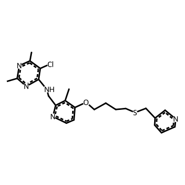 Cc1nc(C)c(Cl)c(NCc2nccc(OCCCCSCc3cccnc3)c2C)n1